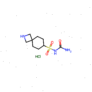 Cl.NC(=O)NS(=O)(=O)C1CCC2(CC1)CNC2